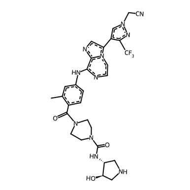 Cc1cc(Nc2nccn3c(-c4cn(CC#N)nc4C(F)(F)F)cnc23)ccc1C(=O)N1CCN(C(=O)N[C@@H]2CNC[C@H]2O)CC1